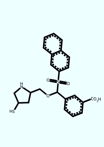 O=C(O)c1cccc(C(OCC2CC(S)CN2)S(=O)(=O)c2ccc3ccccc3c2)c1